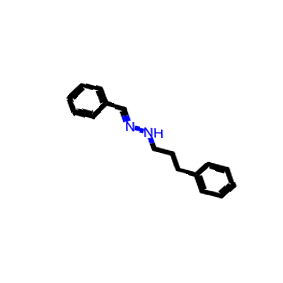 C(=NNCCCc1ccccc1)c1ccccc1